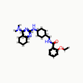 CCOc1ccccc1C(=O)NCC1CCC(Nc2nc3c(c(N(C)C)n2)CCCC3)CC1